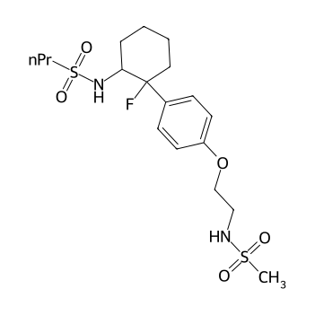 CCCS(=O)(=O)NC1CCCCC1(F)c1ccc(OCCNS(C)(=O)=O)cc1